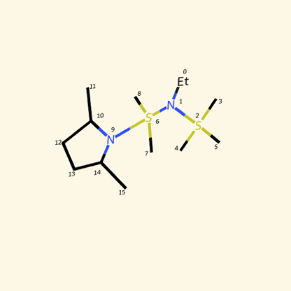 CCN(S(C)(C)C)S(C)(C)N1C(C)CCC1C